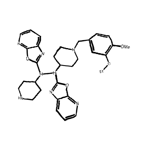 CCOc1cc(CN2CCC(N(c3nc4cccnc4o3)N(c3nc4cccnc4o3)C3CCNCC3)CC2)ccc1OC